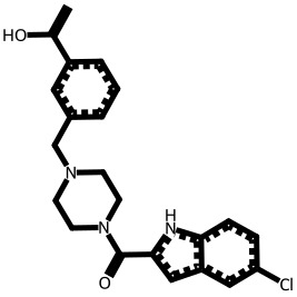 C=C(O)c1cccc(CN2CCN(C(=O)c3cc4cc(Cl)ccc4[nH]3)CC2)c1